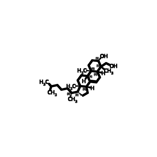 CC(C)CCC[C@@H](C)[C@H]1CC[C@H]2C3=CC[C@@H]4[C@](C)(CC[C@H](O)[C@]4(C)CO)[C@H]3CC[C@]12C